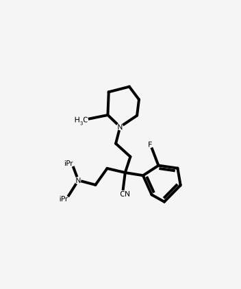 CC1CCCCN1CCC(C#N)(CCN(C(C)C)C(C)C)c1ccccc1F